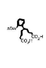 CCCCCCCCCCc1ccccc1C(CCCC(=O)O)CCCC(=O)O